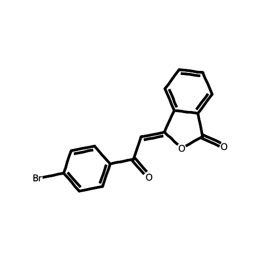 O=C(C=C1OC(=O)c2ccccc21)c1ccc(Br)cc1